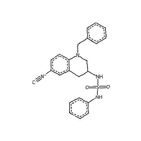 [C-]#[N+]c1ccc2c(c1)CC(NS(=O)(=O)Nc1ccccc1)CN2Cc1ccccc1